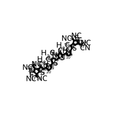 [C-]#[N+]/C(C#N)=C1/c2c(sc(-c3ccc(-c4sc5c6sc(-c7ccc(-c8sc9c(c8C)/C(=C(/C#N)[N+]#[C-])C(F)(F)/C9=C(\C#N)[N+]#[C-])s7)c(C)c6n(C)c5c4C)s3)c2C)/C(=C(\C#N)[N+]#[C-])C1(F)F